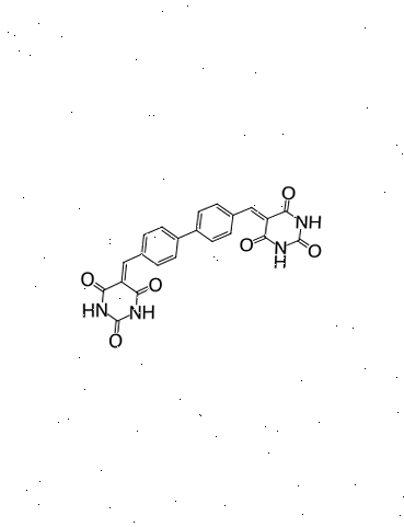 O=C1NC(=O)C(=Cc2ccc(-c3ccc(C=C4C(=O)NC(=O)NC4=O)cc3)cc2)C(=O)N1